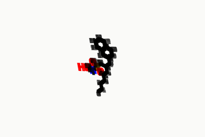 CCCCCCC(Cc1ccc2ccccc2c1)CS(=O)(=O)[N]O